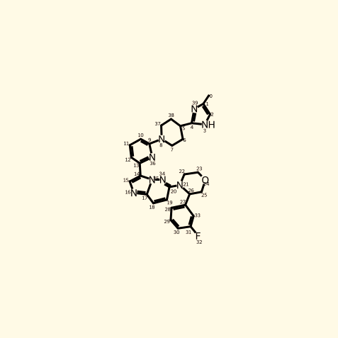 Cc1c[nH]c(C2CCN(c3cccc(-c4cnc5ccc(N6CCOCC6c6cccc(F)c6)nn45)n3)CC2)n1